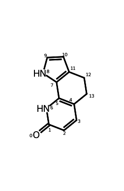 O=c1ccc2c([nH]1)-c1[nH]ccc1CC2